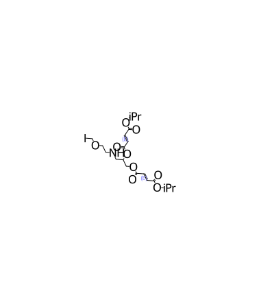 CC(C)OC(=O)/C=C/C(=O)OCC(CNCCOCI)OC(=O)/C=C/C(=O)OC(C)C